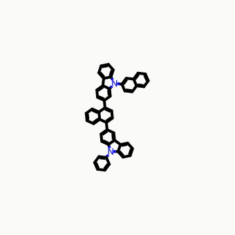 c1ccc(-n2c3ccccc3c3cc(-c4ccc(-c5ccc6c7ccccc7n(-c7ccc8ccccc8c7)c6c5)c5ccccc45)ccc32)cc1